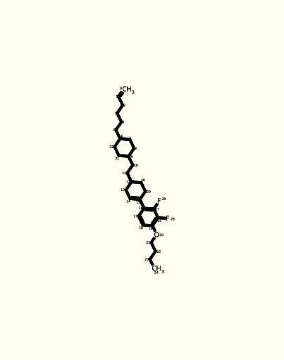 C=CCCCCC1CCC(CCC2CC=C(c3ccc(OCCCC)c(F)c3F)CC2)CC1